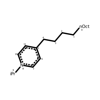 CCCCCCCCCCCCc1cc[n+](C(C)C)cc1